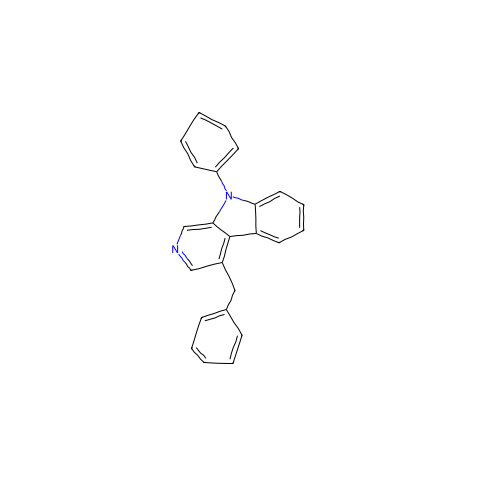 c1ccc(Cc2cncc3c2c2ccccc2n3-c2ccccc2)cc1